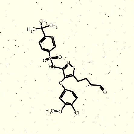 COc1cc(Oc2c(NS(=O)(=O)c3ccc(C(C)(C)C)cc3)nsc2CCCC=O)ccc1Cl